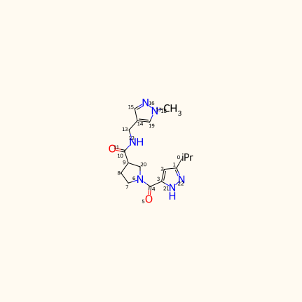 CC(C)c1cc(C(=O)N2CCC(C(=O)NCc3cnn(C)c3)C2)[nH]n1